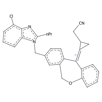 CCCc1nc2c(Cl)cccc2n1Cc1ccc2c(c1)COc1ccccc1/C2=C1\CC1CC#N